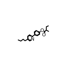 CCCCc1ccc(-c2ccc(OC(=O)C(C)CC)cc2)nc1